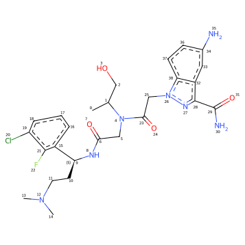 CC(CO)N(CC(=O)N[C@@H](CCN(C)C)c1cccc(Cl)c1F)C(=O)Cn1nc(C(N)=O)c2cc(N)ccc21